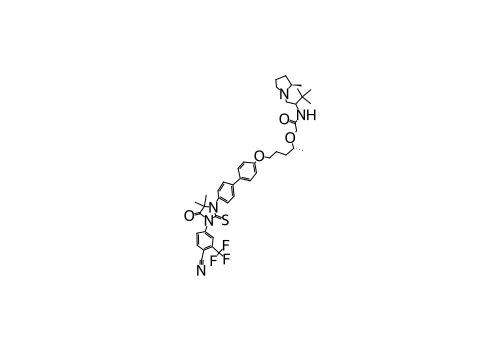 C[C@H](CCCOc1ccc(-c2ccc(N3C(=S)N(c4ccc(C#N)c(C(F)(F)F)c4)C(=O)C3(C)C)cc2)cc1)OCC(=O)NC(CN1CCC[C@H]1C)C(C)(C)C